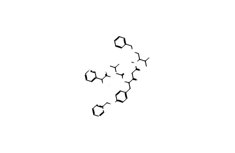 CC(C)C(COCc1ccccc1)N(F)C(=O)CC(=O)C(Cc1ccc(OCc2ccccc2)cc1)NC(=O)[C@H](NC(=O)C(O)c1ccccc1)C(C)C